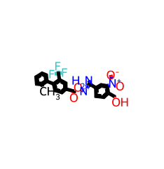 Cc1ccccc1-c1ccc(C(=O)O/N=C(\N)c2ccc(CO)c([N+](=O)[O-])c2)cc1C(F)(F)F